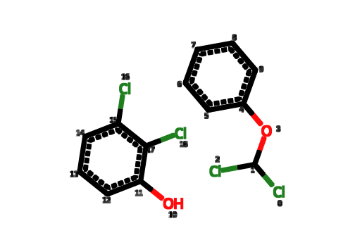 ClC(Cl)Oc1[c]cccc1.Oc1cccc(Cl)c1Cl